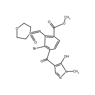 COC(=O)c1ccc(C(=O)c2cnn(C)c2O)c(Br)c1N=S1(=O)CCOCC1